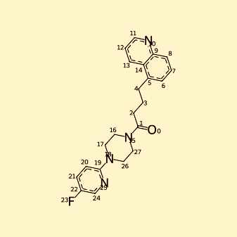 O=C(CCCc1cccc2ncccc12)N1CCN(c2ccc(F)cn2)CC1